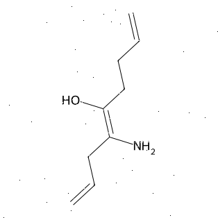 C=CCCC(O)=C(N)CC=C